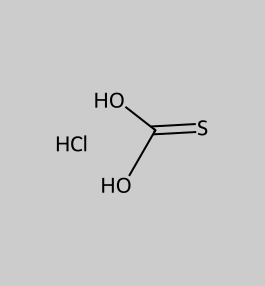 Cl.OC(O)=S